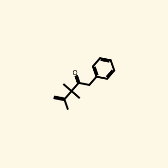 C=C(C)C(C)(C)C(=O)Cc1ccccc1